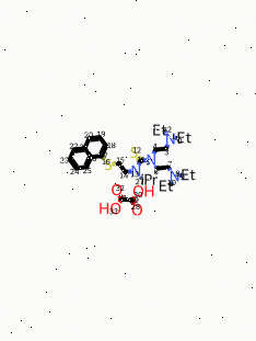 CCN(CC)CCN(CCN(CC)CC)C(=S)N(CCSc1cccc2ccccc12)C(C)C.O=C(O)C(=O)O